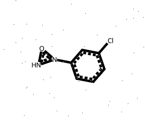 Clc1cccc(-n2[nH]o2)c1